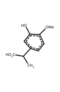 COc1ccc(C(C)C(=O)O)cc1O